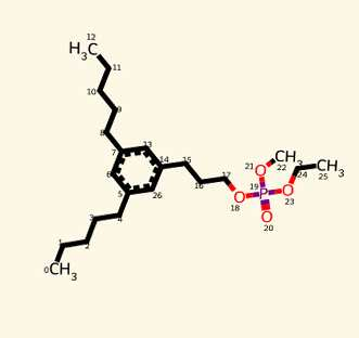 CCCCCc1cc(CCCCC)cc(CCCOP(=O)(OC)OCC)c1